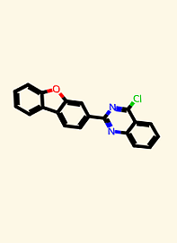 Clc1nc(-c2ccc3c(c2)oc2ccccc23)nc2ccccc12